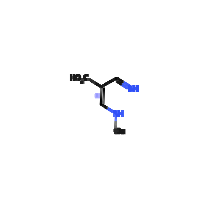 CC(C)(C)N/C=C(\C=N)C(=O)O